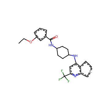 CCOc1cccc(C(=O)NC2CCC(Nc3cc(C(F)(F)F)nc4ccccc34)CC2)c1